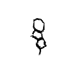 Cc1ccc2c3c(sc2c1)CCCCC3